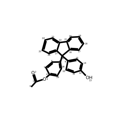 CC(=O)Oc1ccc(C2(c3ccc(O)cc3)c3ccccc3-c3ccccc32)cc1